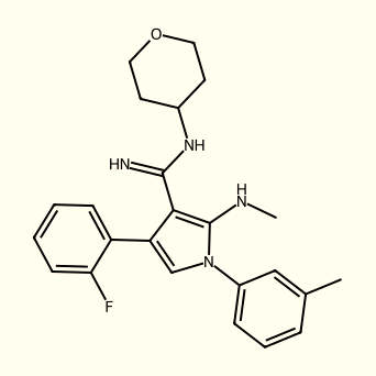 CNc1c(C(=N)NC2CCOCC2)c(-c2ccccc2F)cn1-c1cccc(C)c1